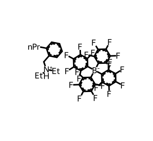 CCCc1ccccc1C[NH+](CC)CC.Fc1c(F)c(F)c([B-](c2c(F)c(F)c(F)c(F)c2F)(c2c(F)c(F)c(F)c(F)c2F)c2c(F)c(F)c(F)c(F)c2F)c(F)c1F